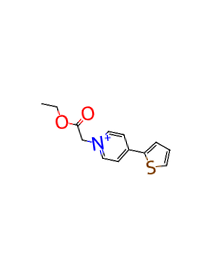 CCOC(=O)C[n+]1ccc(-c2cccs2)cc1